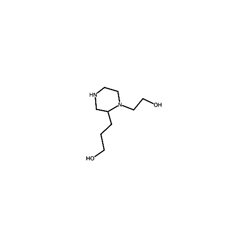 OCCCC1CNCCN1CCO